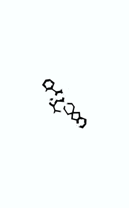 Cc1nc(N2CCC3(CC2)Cc2cccnc2C3)c2c(C(F)F)cnn2c1-c1ccccc1F